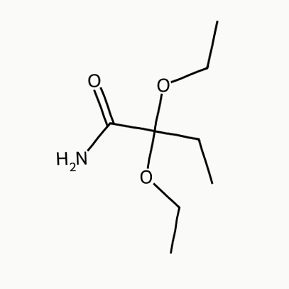 CCOC(CC)(OCC)C(N)=O